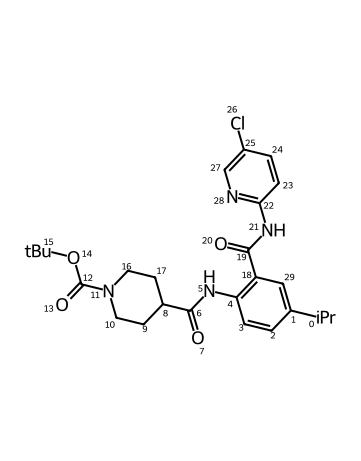 CC(C)c1ccc(NC(=O)C2CCN(C(=O)OC(C)(C)C)CC2)c(C(=O)Nc2ccc(Cl)cn2)c1